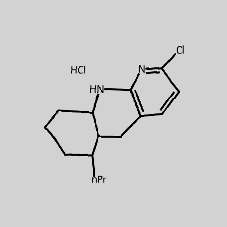 CCCC1CCCC2Nc3nc(Cl)ccc3CC12.Cl